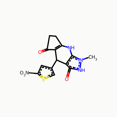 Cn1[nH]c(=O)c2c1NC1=C(C(=O)CC1)C2c1csc([N+](=O)[O-])c1